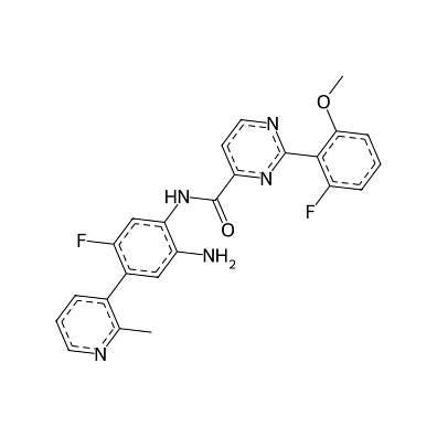 COc1cccc(F)c1-c1nccc(C(=O)Nc2cc(F)c(-c3cccnc3C)cc2N)n1